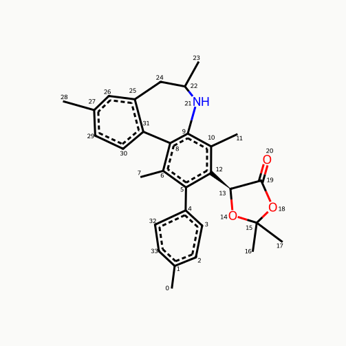 Cc1ccc(-c2c(C)c3c(c(C)c2[C@@H]2OC(C)(C)OC2=O)NC(C)Cc2cc(C)ccc2-3)cc1